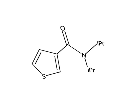 CC(C)N(C(=O)c1ccsc1)C(C)C